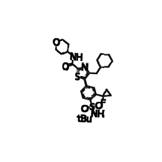 CC(C)(C)NS(=O)(=O)c1ccc(-c2sc(C(=O)NC3CCOCC3)nc2CC2CCCCC2)cc1C1(F)CC1